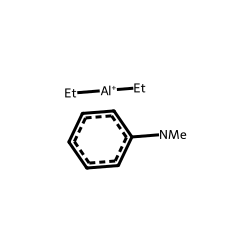 C[CH2][Al+][CH2]C.C[N-]c1ccccc1